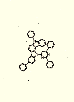 c1ccc(-c2ccc3c(c2)c2ccc4c(c5ccccc5n4-c4ccccc4)c2n3-c2cc(-c3ccccc3)nc(-c3ccccc3)n2)cc1